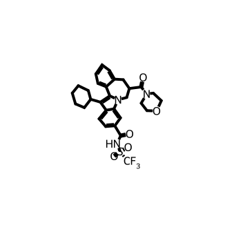 O=C(NS(=O)(=O)C(F)(F)F)c1ccc2c(C3CCCCC3)c3n(c2c1)CC(C(=O)N1CCOCC1)Cc1ccccc1-3